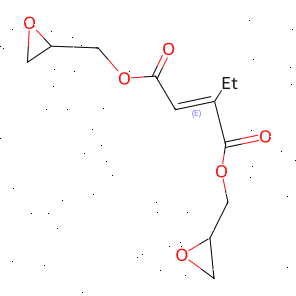 CC/C(=C\C(=O)OCC1CO1)C(=O)OCC1CO1